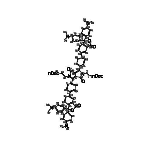 CCCCCCCCCCCCN1C(=O)C2=C(c3ccc(-c4ccc5c(c4)C(=O)OC5(c4ccc(N(C)C)cc4)c4ccc(N(C)C)cc4)cc3)N(CCCCCCCCCCCC)C(=O)C2=C1c1ccc(-c2ccc3c(c2)C(=O)OC3(c2ccc(N(C)C)cc2)c2ccc(N(C)C)cc2)cc1